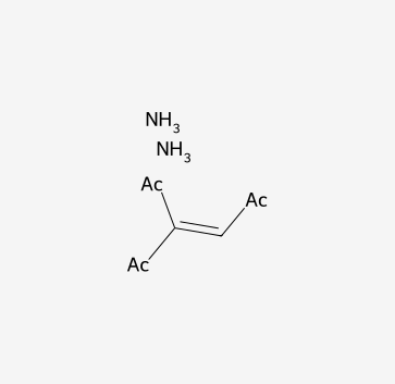 CC(=O)C=C(C(C)=O)C(C)=O.N.N